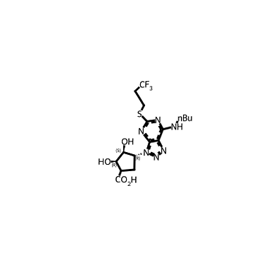 CCCCNc1nc(SCCC(F)(F)F)nc2c1nnn2[C@@H]1CC(C(=O)O)[C@@H](O)[C@H]1O